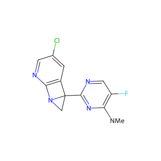 CNc1nc(C23CN2c2ncc(Cl)cc23)ncc1F